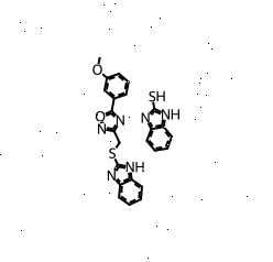 COc1cccc(-c2nc(CSc3nc4ccccc4[nH]3)no2)c1.Sc1nc2ccccc2[nH]1